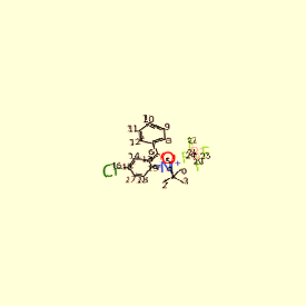 CC(C)(C)[n+]1oc(-c2ccccc2)c2cc(Cl)ccc21.F[B-](F)(F)F